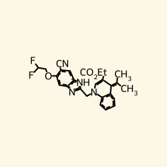 CCOC(=O)C1=CN(Cc2nc3cc(OCC(F)F)c(C#N)cc3[nH]2)c2ccccc2C1=C(C)C